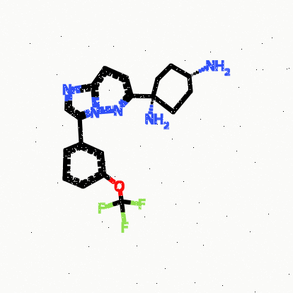 N[C@H]1CC[C@](N)(c2ccc3ncc(-c4cccc(OC(F)(F)F)c4)n3n2)CC1